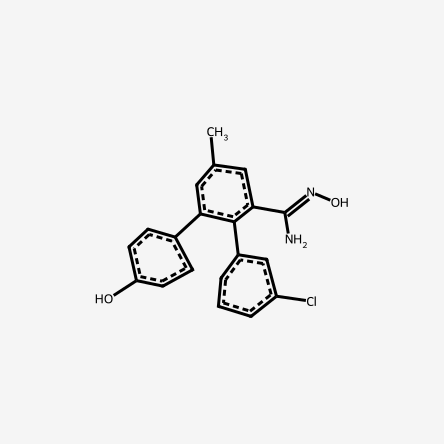 Cc1cc(/C(N)=N/O)c(-c2cccc(Cl)c2)c(-c2ccc(O)cc2)c1